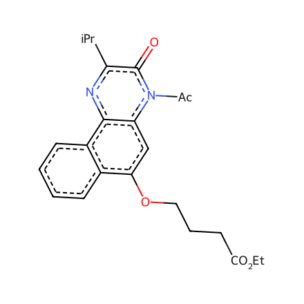 CCOC(=O)CCCOc1cc2c(nc(C(C)C)c(=O)n2C(C)=O)c2ccccc12